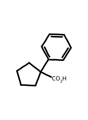 O=C(O)C1(c2[c]cccc2)CCCC1